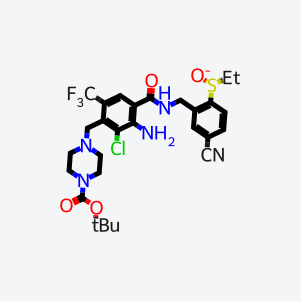 CC[S+]([O-])c1ccc(C#N)cc1CNC(=O)c1cc(C(F)(F)F)c(CN2CCN(C(=O)OC(C)(C)C)CC2)c(Cl)c1N